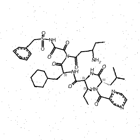 CCC(N)CC(=O)N(C(=O)C(=O)NS(=O)(=O)Cc1ccccc1)C(=O)[C@H](CC1CCCCC1)NC(=O)[C@@H](NC(=O)[C@H](CC(C)C)NC(=O)c1cnccn1)[C@@H](C)CC